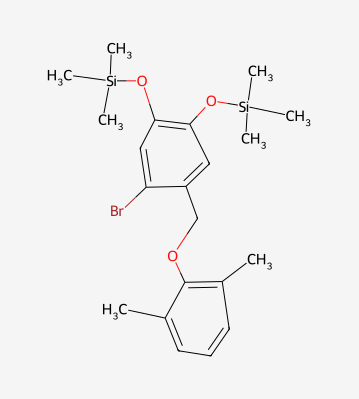 Cc1cccc(C)c1OCc1cc(O[Si](C)(C)C)c(O[Si](C)(C)C)cc1Br